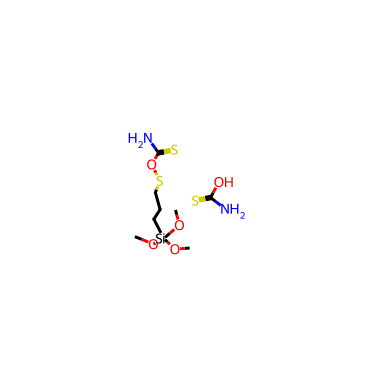 CO[Si](CCCSOC(N)=S)(OC)OC.NC(O)=S